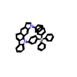 c1ccc(-n2ccc3cc4ccc5c6ccccc6n(-c6ccc([Si](c7ccccc7)(c7ccccc7)c7ccccc7)cc6)c5c4cc32)cc1